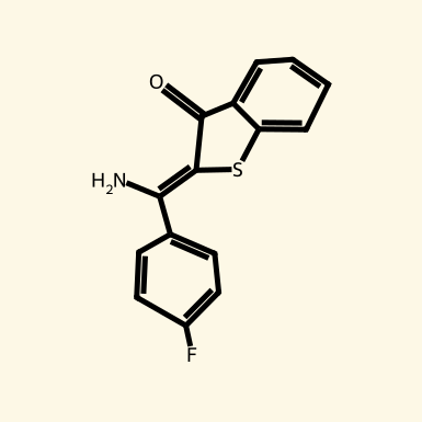 NC(=C1Sc2ccccc2C1=O)c1ccc(F)cc1